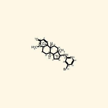 CN1C(=O)C=C[C@@]2(C)C1CC[C@@H]1[C@H]2CC[C@]2(C)C(Nc3cc(Br)ccn3)CC[C@@H]12